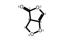 O=C1OC=C2OOCC12